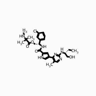 CC[C@H](CO)Nc1ncc(C)c(-c2c[nH]c(C(=O)N[C@H](COC(=O)C(C)(C)NC)c3cccc(Cl)c3)c2)n1